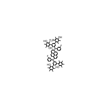 Bc1c(C)c(O)c(C)c(C)c1-c1cc(-c2c(C)c(O)c(C)c(C)c2O)cc(N(c2cccc(F)c2)c2ccc3ccc4c(N(c5cccc(F)c5)c5cc(-c6c(C)c(C)c(C)c(C)c6O)cc(-c6c(C)c(C)c(C)c(C)c6O)c5)ccc5ccc2c3c54)c1